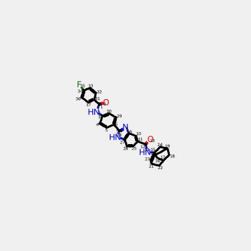 O=C(Nc1ccc(-c2nc3cc(C(=O)NC45CC6CC(CC(C6)C4)C5)ccc3[nH]2)cc1)c1ccc(F)cc1